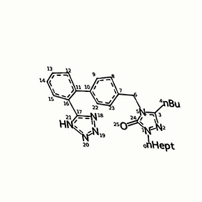 CCCCCCCn1nc(CCCC)n(Cc2ccc(-c3ccccc3-c3nnn[nH]3)cc2)c1=O